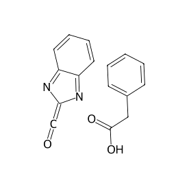 O=C(O)Cc1ccccc1.O=C=C1N=c2ccccc2=N1